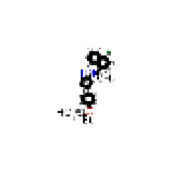 CCC(Oc1ccc([C@@H]2CC[C@H](N[C@H](C)c3ccc(F)c4ccccc34)C2)cc1)C(=O)O